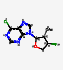 CC(=O)O[C@H]1[C@H](n2cnc3c(Cl)ncnc32)OC[C@@H]1F